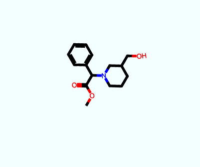 COC(=O)C(c1ccccc1)N1CCCC(CO)C1